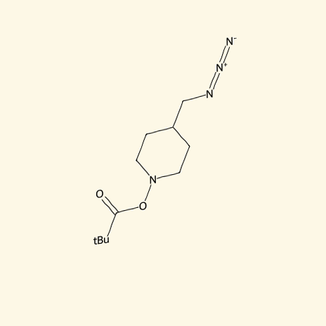 CC(C)(C)C(=O)ON1CCC(CN=[N+]=[N-])CC1